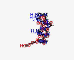 Cc1cn(C2CN(P(=O)(OCC3CN(P(=O)(OCC4CN(C)CC(n5ccc(N)nc5=O)O4)N(C)C)CC(n4ccc(N)nc4=O)O3)N(C)C)CC(COP(=O)(N(C)C)N3CC(COP(=O)(N(C)C)N4CCN(C(=O)OCCOCCOCCO)CC4)OC(n4ccc(N)nc4=O)C3)O2)c(=O)[nH]c1=O